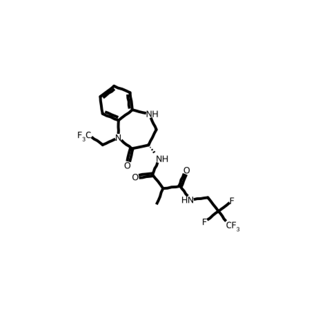 CC(C(=O)NCC(F)(F)C(F)(F)F)C(=O)N[C@H]1CNc2ccccc2N(CC(F)(F)F)C1=O